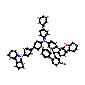 CCCCc1ccc2c(c1)C1(c3ccccc3-2)c2cc(N(c3ccc(-c4ccccc4)cc3)c3ccc(-c4ccc(-n5c6ccccc6c6ccccc65)cc4)cc3)ccc2-c2c1ccc1c2oc2ccccc21